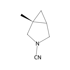 C[C@@]12CC1CN(C#N)C2